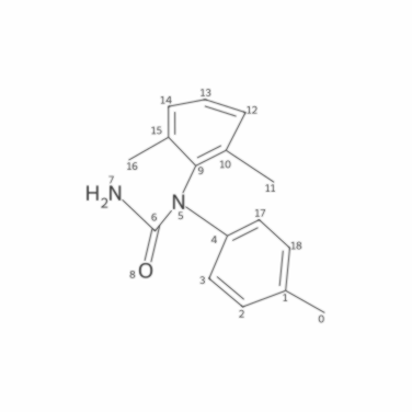 Cc1ccc(N(C(N)=O)c2c(C)cccc2C)cc1